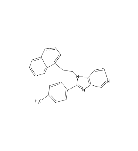 Cc1ccc(-c2nc3cnccc3n2CCc2cccc3ccccc23)cc1